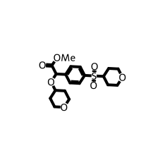 COC(=O)C(OC1CCOCC1)c1ccc(S(=O)(=O)C2CCOCC2)cc1